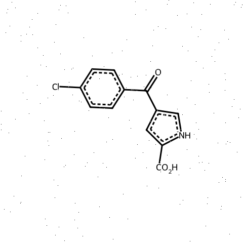 O=C(c1ccc(Cl)cc1)c1c[nH]c(C(=O)O)c1